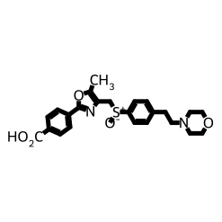 Cc1oc(-c2ccc(C(=O)O)cc2)nc1C[S+]([O-])c1ccc(CCN2CCOCC2)cc1